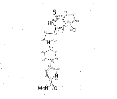 CNC(=O)c1ccc(N2CCC(N3CC[C@@H](c4nc5c(Cl)cccc5c(=O)[nH]4)C3)CC2)cn1